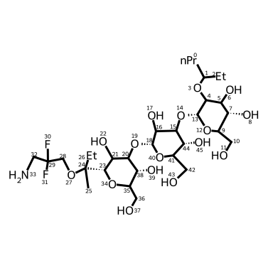 CCCC(CC)OC1C(O)[C@H](O)C(CO)O[C@@H]1OC1C(O)[C@@H](OC2C(O)[C@@H](C(C)(CC)OCC(F)(F)CN)OC(CO)[C@H]2O)OC(CO)[C@H]1O